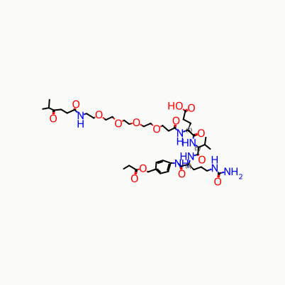 CCC(=O)OCc1ccc(NC(=O)[C@H](CCCNC(N)=O)NC(=O)[C@@H](NC(=O)[C@H](CCC(=O)O)NC(=O)CCOCCOCCOCCOCCNC(=O)CCC(=O)C(C)C)C(C)C)cc1